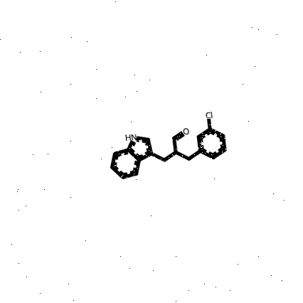 O=CC(Cc1cccc(Cl)c1)Cc1c[nH]c2ccccc12